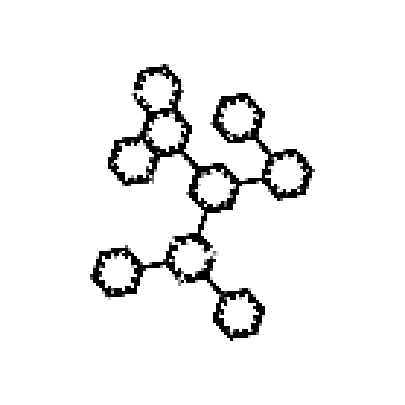 c1ccc(-c2nc(-c3ccccc3)nc(-c3cc(-c4ccccc4-c4ccccc4)cc(-c4cc5nccnc5c5cccnc45)c3)n2)cc1